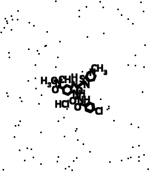 CN1CCc2nc(C(=O)NC3CC(C(=O)N(C)C)CCC3NC(=O)NC(=O)c3ccc(Cl)cc3)sc2C1.Cl